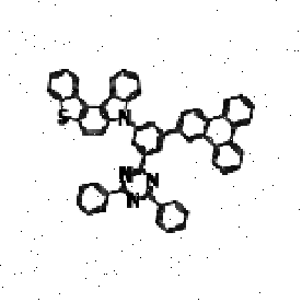 c1ccc(-c2nc(-c3ccccc3)nc(-c3cc(-c4ccc5c6ccccc6c6ccccc6c5c4)cc(-n4c5ccccc5c5c6c(ccc54)sc4ccccc46)c3)n2)cc1